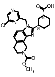 COC(=O)N1CCc2ccc3c(nc([C@@H]4CCC[C@@H](C(=O)O)C4)n3Cc3cncc(Cl)n3)c2C1